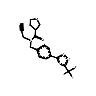 C#CCN(Cc1ccc(-c2noc(C(F)(F)F)n2)cc1)C(=O)C1CCOC1